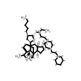 CCCCC[C@@H]1C[C@H](C23C[C@@H]4[C@H](C)CC[C@H]4C4(C=O)CC2C=C(C(C)C)[C@]43C(=O)O)O[C@H]1CN(CC)CCN1CCN(CCN2CCCCC2)CC1